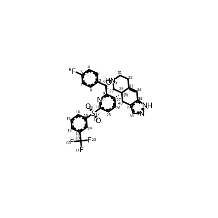 O=C(c1ccc(F)cc1)c1nc(S(=O)(=O)c2cccc(C(F)(F)F)c2)ccc1[C@]12CNCCC1=Cc1[nH]ncc1C2